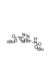 CCCCOC(=O)Cn1cnc2c(NCCNC(=O)OC(C)(C)C)ncnc21